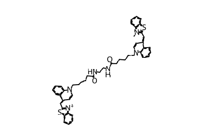 C[n+]1c(C=C2C=CN(CCCCCC(=O)NCCNC(=O)CCCCCN3C=C/C(=C\c4sc5ccccc5[n+]4C)c4ccccc43)c3ccccc32)sc2ccccc21